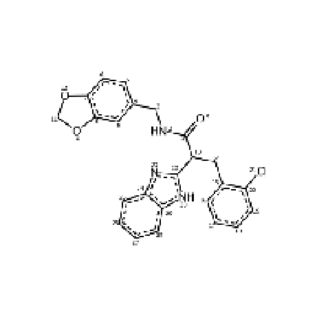 O=C(NCc1ccc2c(c1)OCO2)C(Cc1ccccc1Cl)c1nc2ccccc2[nH]1